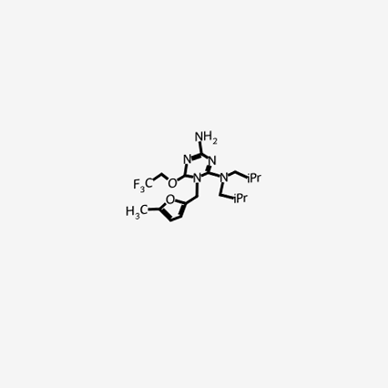 Cc1ccc(CN2C(N(CC(C)C)CC(C)C)=NC(N)=NC2OCC(F)(F)F)o1